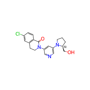 O=C1c2ccc(Cl)cc2CCN1c1cncc(N2CCC[C@H]2CO)c1